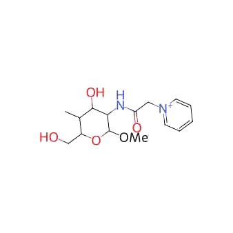 COC1OC(CO)C(C)C(O)C1NC(=O)C[n+]1ccccc1